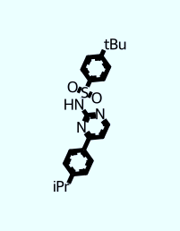 CC(C)c1ccc(-c2ccnc(NS(=O)(=O)c3ccc(C(C)(C)C)cc3)n2)cc1